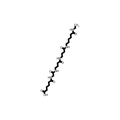 CCNC(=O)CCCCCNC(=O)CCCNC(=O)CCCNC(=O)CNC(=O)CCCCC(=O)O